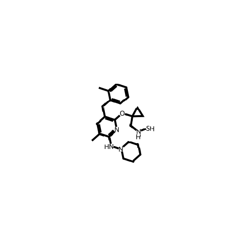 Cc1ccccc1Cc1cc(C)c(NN2CCCCC2)nc1OC1(CNS)CC1